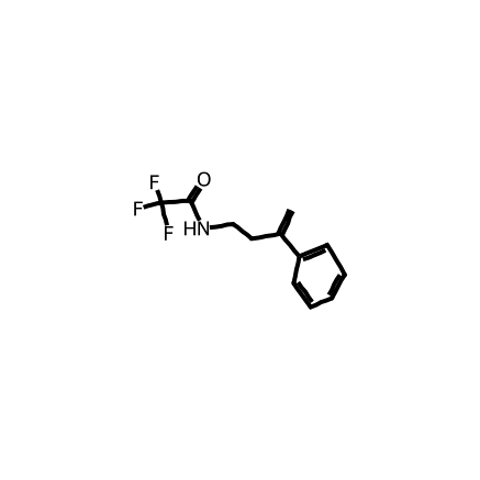 C=C(CCNC(=O)C(F)(F)F)c1ccccc1